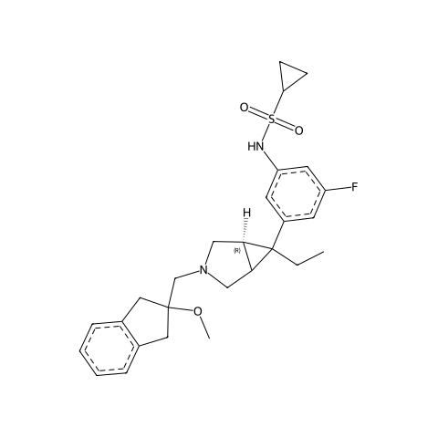 CCC1(c2cc(F)cc(NS(=O)(=O)C3CC3)c2)C2CN(CC3(OC)Cc4ccccc4C3)C[C@H]21